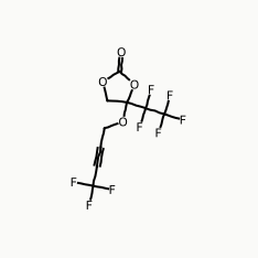 O=C1OCC(OCC#CC(F)(F)F)(C(F)(F)C(F)(F)F)O1